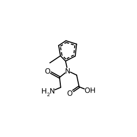 Cc1ccccc1N(CC(=O)O)C(=O)CN